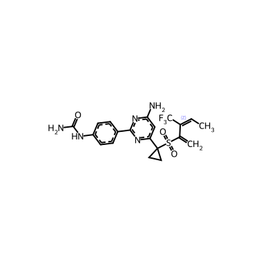 C=C(/C(=C\C)C(F)(F)F)S(=O)(=O)C1(c2cc(N)nc(-c3ccc(NC(N)=O)cc3)n2)CC1